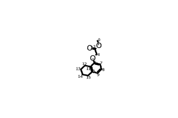 COC(=O)COc1cccc2c1CCCC2